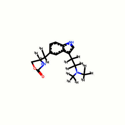 [2H]C([2H])([2H])N(C([2H])([2H])[2H])C([2H])([2H])C([2H])([2H])c1c[nH]c2ccc(C([2H])([2H])[C@@]3([2H])COC(=O)N3)cc12